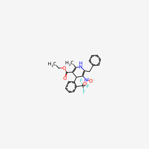 CCOC(=O)C1=C(C)NC(Cc2ccccc2)=C([N+](=O)[O-])C1c1ccccc1C(F)(F)F